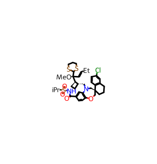 CC/C=C/[C@@](OC)(C1SCCCS1)[C@@H]1CC[C@H]1CN1C[C@@]2(CCCc3cc(Cl)ccc32)COc2ccc(C(=O)NS(=O)(=O)C(C)C)cc21